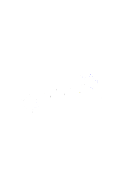 Cn1nnnc1SCCCCSc1ccccn1